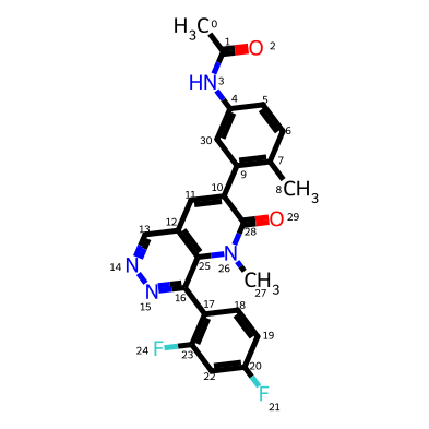 CC(=O)Nc1ccc(C)c(-c2cc3cnnc(-c4ccc(F)cc4F)c3n(C)c2=O)c1